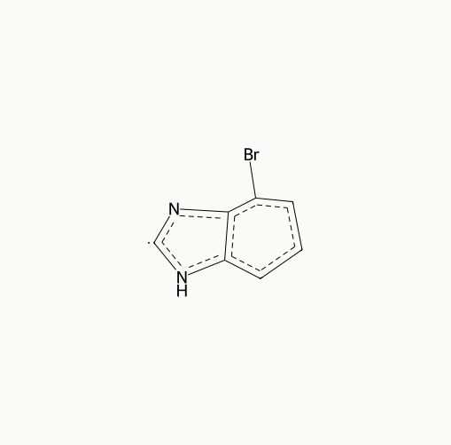 Brc1cccc2[nH][c]nc12